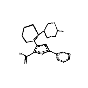 CC1CCC(C2=C(c3cc(-c4ccccc4)sc3C(=O)O)CCCC2)CC1